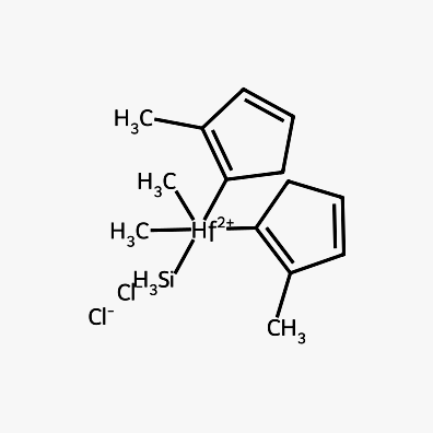 CC1=[C]([Hf+2]([CH3])([CH3])([SiH3])[C]2=C(C)C=CC2)CC=C1.[Cl-].[Cl-]